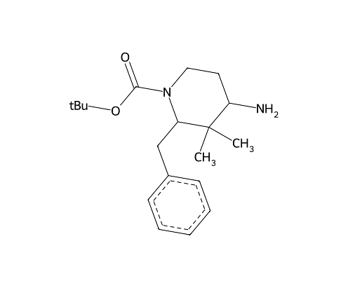 CC(C)(C)OC(=O)N1CCC(N)C(C)(C)C1Cc1ccccc1